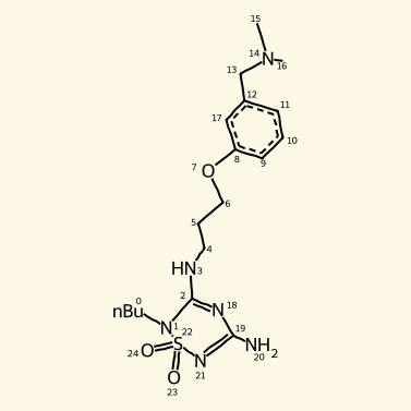 CCCCN1C(NCCCOc2cccc(CN(C)C)c2)=NC(N)=NS1(=O)=O